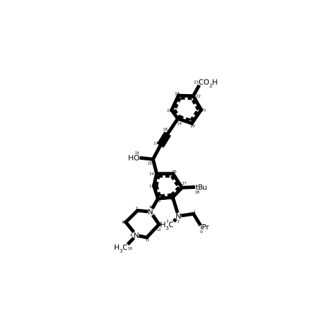 CC(C)CN(C)c1c(N2CCN(C)CC2)cc(C(O)C#Cc2ccc(C(=O)O)cc2)cc1C(C)(C)C